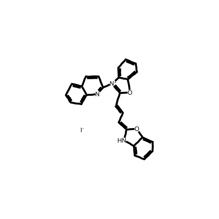 C(=Cc1oc2ccccc2[n+]1-c1ccc2ccccc2n1)C=C1Nc2ccccc2O1.[I-]